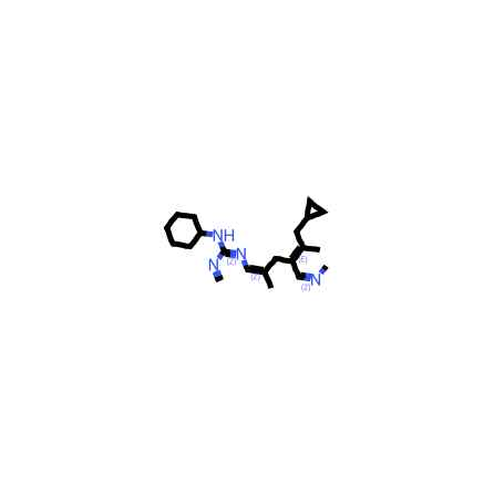 C=N/C(=N\C=C(\C)CC(/C=N\C)=C(/C)CC1CC1)NC1CCCCC1